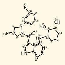 O=C(c1n[nH]c2ncnc(N[C@@H]3CCC[C@@H](O)[C@H]3O)c12)N1C[C@@H](F)C[C@@H]1c1cccc(F)c1